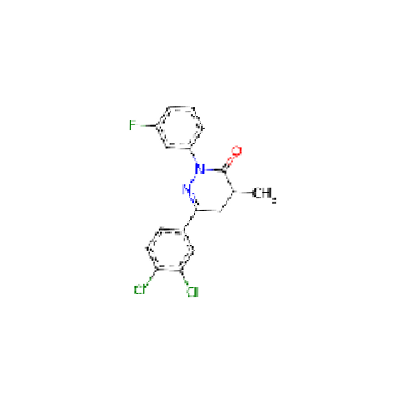 CC1CC(c2ccc(Cl)c(Cl)c2)=NN(c2cccc(F)c2)C1=O